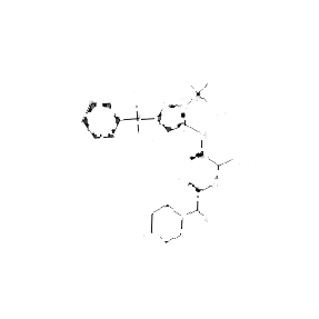 CC(NC(=O)C(O)C1CCCCC1)C(=O)Nc1cc(C(C)(C)c2ccccc2)nn1C(C)(C)C